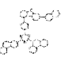 c1ccc2c(c1)CC(c1nc(-c3ccc(-c4cccc5oc6cc(-c7ccc8ccccc8c7)ccc6c45)cc3)nc(-c3ccc4c(ccc5ccccc54)c3)n1)c1ccccc1-2